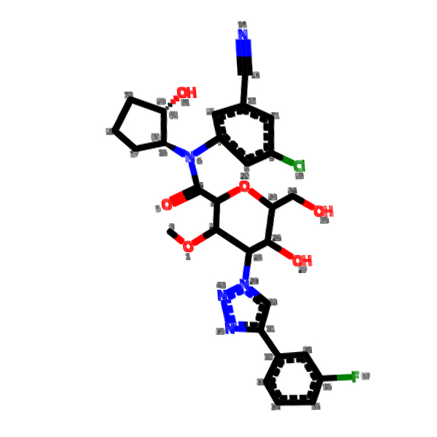 COC1C(C(=O)N(c2cc(Cl)cc(C#N)c2)[C@H]2CCC[C@@H]2O)OC(CO)C(O)C1n1cc(-c2cccc(F)c2)nn1